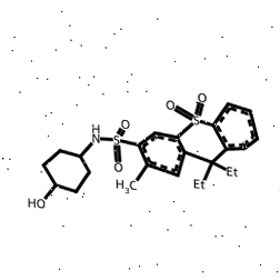 CCC1(CC)c2ccccc2S(=O)(=O)c2cc(S(=O)(=O)NC3CCC(O)CC3)c(C)cc21